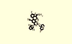 N#Cc1cc2c(N3C[C@@H]4CC[C@@H](C4)C3)nc(OC[C@@]34CCCN3C[C@H](F)C4)nc2c(F)c1-c1ccc(F)c2sc(N)c(C#N)c12